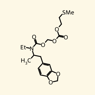 CCN(C(=O)OCOC(=O)OCCSC)C(C)Cc1ccc2c(c1)OCO2